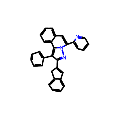 C1=C(c2nn3c(-c4ccccn4)cc4ccccc4c3c2-c2ccccc2)Cc2ccccc21